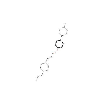 CCCC1CCC(CCCOc2ccc(C3CCC(C)CC3)cc2)CC1